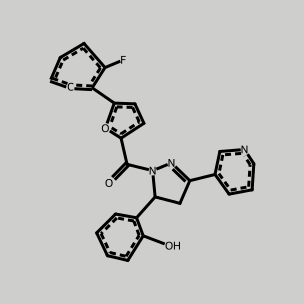 O=C(c1ccc(-c2ccccc2F)o1)N1N=C(c2cccnc2)CC1c1ccccc1O